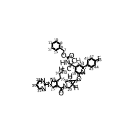 CC(C)(NC(=O)OCc1ccccc1)c1cc(OC2[C@H]3CN(C(=O)c4cn(-c5ncccn5)nc4CCF)C[C@@H]23)nc(-c2ccc(F)cc2)c1